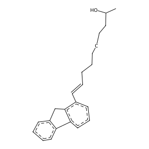 CC(O)CCCCCCC=Cc1cccc2c1Cc1ccccc1-2